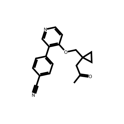 CC(=O)CC1(COc2ccncc2-c2ccc(C#N)cc2)CC1